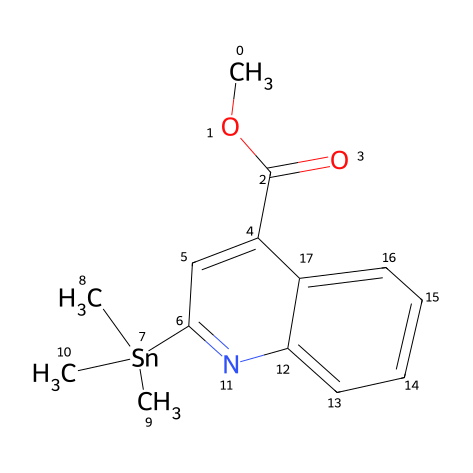 COC(=O)c1c[c]([Sn]([CH3])([CH3])[CH3])nc2ccccc12